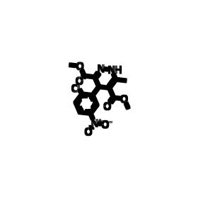 COC(=O)C1=NNC(C)=C(C(=O)OC)C1c1cc([N+](=O)[O-])ccc1Cl